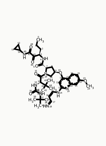 CCC[C@@H](NC(=O)[C@@H]1C[C@@H](Oc2cc(N/C=C\C=N)nc3cc(OC)ccc23)CN1C(=O)[C@@H](NC(=O)NC(C)(C)C)C(C)(C)C)C(=O)C(=O)NC1CC1